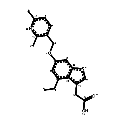 CCc1cc(OCc2ccc(C)nc2C)cc2scc(CC(=O)O)c12